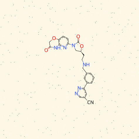 N#Cc1cnnc(-c2cccc(CNCC[C@H]3CN(c4ccc5c(n4)NC(=O)CO5)C(=O)O3)c2)c1